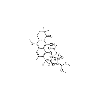 COc1c2c(c(O)c3c4c(c(C)cc13)[C@@H]1O[C@@]3(C(OC)OC)O[C@@H]1[C@@](OC(C)=O)(O4)[C@@]31CO1)C(=O)C(C)(C)CC2